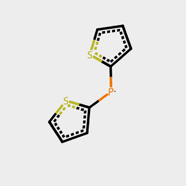 c1csc([P]c2cccs2)c1